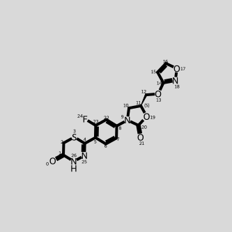 O=C1CSC(c2ccc(N3C[C@@H](COc4ccon4)OC3=O)cc2F)=NN1